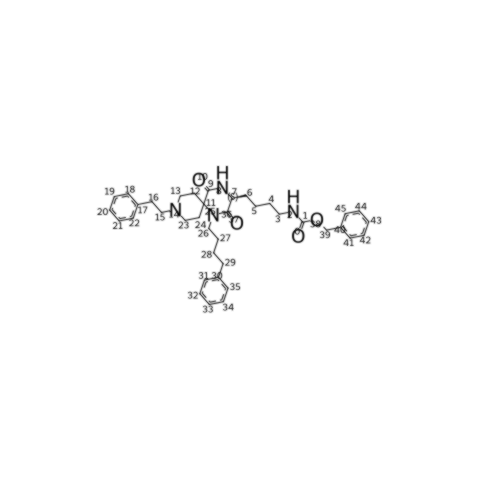 O=C(NCCCC[C@@H]1NC(=O)C2(CCN(CCc3ccccc3)CC2)N(CCCCc2ccccc2)C1=O)OCc1ccccc1